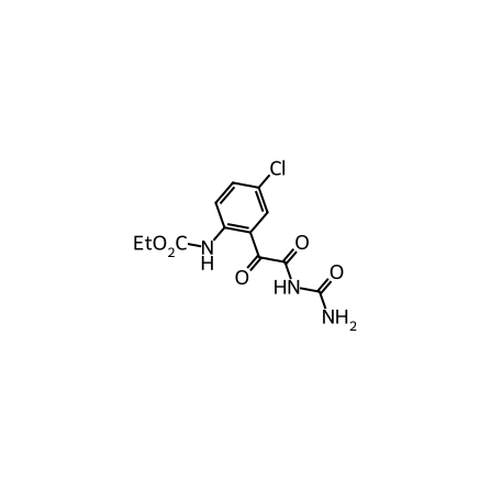 CCOC(=O)Nc1ccc(Cl)cc1C(=O)C(=O)NC(N)=O